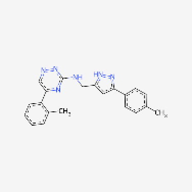 Cc1ccc(-c2cc(CNc3nncc(-c4ccccc4C)n3)[nH]n2)cc1